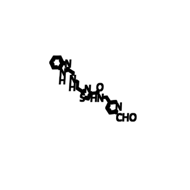 O=Cc1ccc(CNC(=O)c2csc(CCNCc3nc4ccccc4[nH]3)n2)cn1